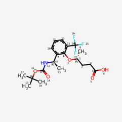 C[C@H](CCC(=O)O)Oc1c([C@@H](C)NC(=O)OC(C)(C)C)cccc1C(F)(F)F